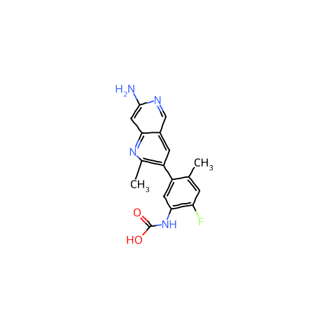 Cc1cc(F)c(NC(=O)O)cc1-c1cc2cnc(N)cc2nc1C